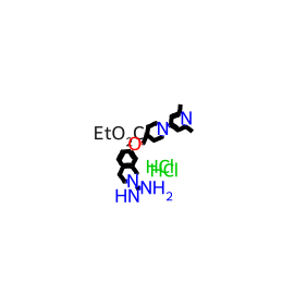 CCOC(=O)C1(COc2ccc3c(c2)CN(C(=N)N)CC3)CCN(c2cc(C)nc(C)c2)CC1.Cl.Cl